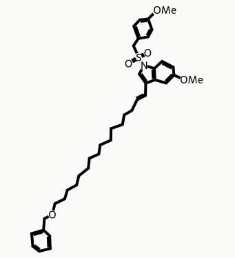 COc1ccc(CS(=O)(=O)n2cc(C=CCCCCCCCCCCCCCCOCc3ccccc3)c3cc(OC)ccc32)cc1